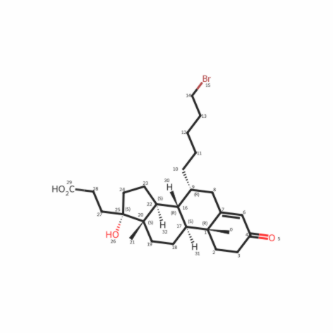 C[C@]12CCC(=O)C=C1C[C@@H](CCCCCBr)[C@@H]1[C@@H]2CC[C@@]2(C)[C@H]1CC[C@]2(O)CCC(=O)O